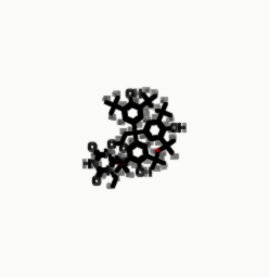 CCn1c(=O)[nH]c(=O)n(OC(=O)CC(c2cc(C(C)(C)C)c(O)c(C(C)(C)C)c2)(c2cc(C(C)(C)C)c(O)c(C(C)(C)C)c2)c2cc(C(C)(C)C)c(O)c(C(C)(C)C)c2)c1=O